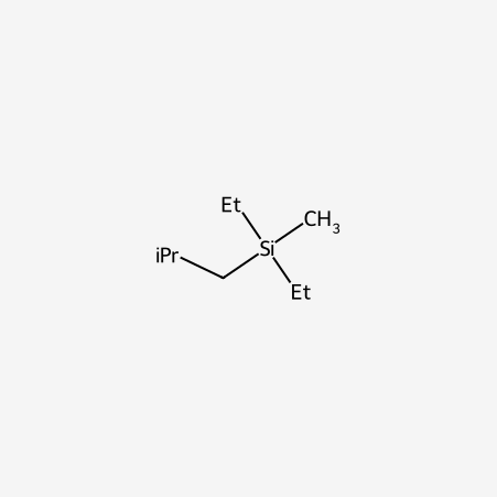 CC[Si](C)(CC)CC(C)C